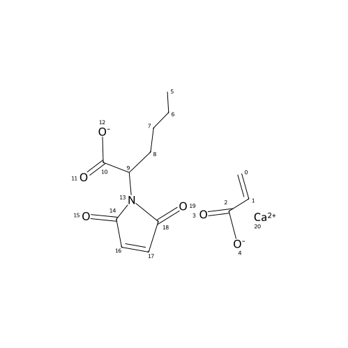 C=CC(=O)[O-].CCCCC(C(=O)[O-])N1C(=O)C=CC1=O.[Ca+2]